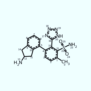 Cc1ccc(-c2cccc3c2CC(N)C3)c(-c2nnn[nH]2)c1S(N)(=O)=O